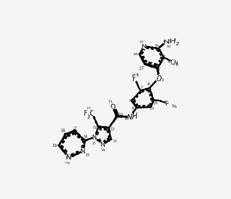 N#Cc1c(Oc2c(F)cc(NC(=O)c3cnn(-c4cccnn4)c3C(F)(F)F)cc2F)ccnc1N